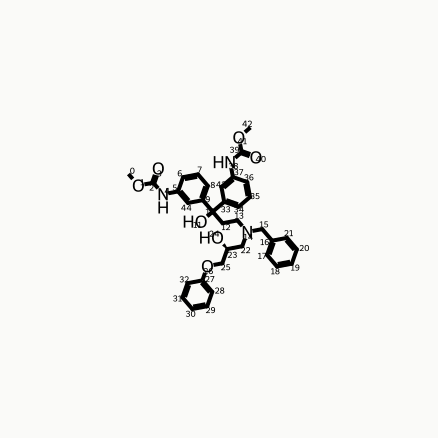 COC(=O)Nc1cccc(C(O)(CCN(Cc2ccccc2)C[C@H](O)COc2ccccc2)c2cccc(NC(=O)OC)c2)c1